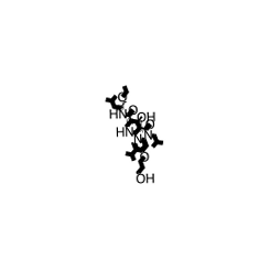 CCOC[C@@H](CC(C)C)NC(=O)[C@@H]1CNC[C@H](C(=O)N(CC(C)C)c2cc(OCCCO)c(C(C)C)cn2)[C@@H]1O